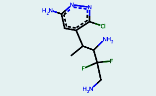 CC(c1cc(N)nnc1Cl)C(N)C(F)(F)CN